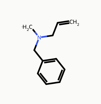 [CH2]N(CC=C)Cc1ccccc1